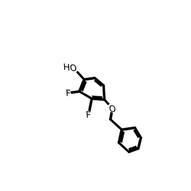 Oc1ccc(OCc2ccccc2)c(F)c1F